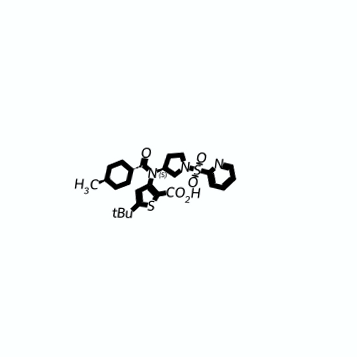 CC(C)(C)c1cc(N(C(=O)[C@H]2CC[C@H](C)CC2)[C@H]2CCN(S(=O)(=O)c3ccccn3)C2)c(C(=O)O)s1